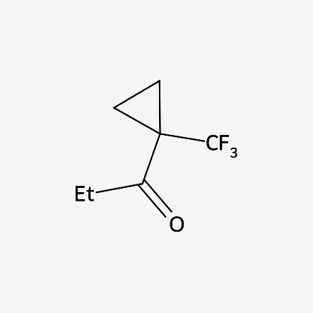 CCC(=O)C1(C(F)(F)F)CC1